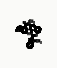 CN(C(=O)c1cccc2[nH]ccc12)C(CCNC(=O)c1nc2ccccc2n1C)Cc1ccccc1